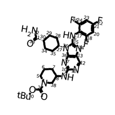 CC(C)(C)OC(=O)N1CCCC(Nc2ncc3nc(Nc4c(F)cc(F)cc4F)n([C@H]4CC[C@@H](C(N)=O)CC4)c3n2)C1